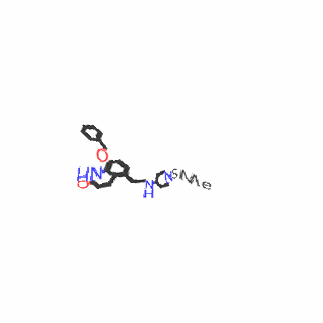 CSN1CCC(NCCc2ccc(OCc3ccccc3)c3[nH]c(=O)ccc23)CC1